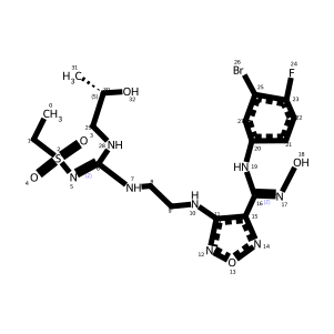 CCS(=O)(=O)/N=C(/NCCNc1nonc1/C(=N/O)Nc1ccc(F)c(Br)c1)NC[C@H](C)O